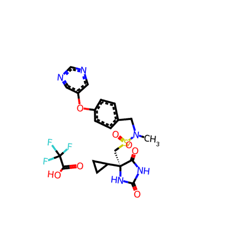 CN(Cc1ccc(Oc2cncnc2)cc1)S(=O)(=O)C[C@@]1(C2CC2)NC(=O)NC1=O.O=C(O)C(F)(F)F